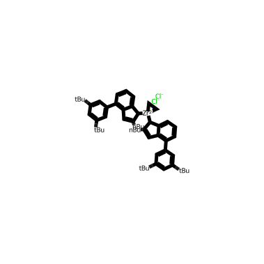 CCCCC1=Cc2c(-c3cc(C(C)(C)C)cc(C(C)(C)C)c3)cccc2[CH]1[Zr+2]1([CH]2C(CCCC)=Cc3c(-c4cc(C(C)(C)C)cc(C(C)(C)C)c4)cccc32)[CH2][CH2]1.[Cl-].[Cl-]